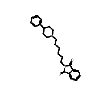 O=C1c2ccccc2C(=O)N1CCCCCCN1CCC(c2ccccc2)CC1